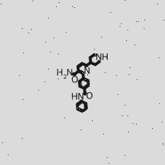 NC(=O)c1ccc(C2CCNCC2)nc1-c1ccc(C(=O)Nc2ccccc2)cc1